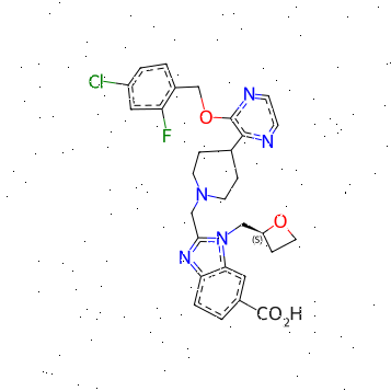 O=C(O)c1ccc2nc(CN3CCC(c4nccnc4OCc4ccc(Cl)cc4F)CC3)n(C[C@@H]3CCO3)c2c1